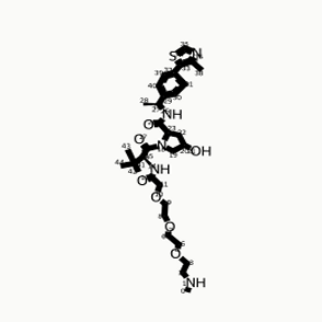 CNCCOCCOCCOCC(=O)N[C@H](C(=O)N1CC(O)CC1C(=O)N[C@@H](C)c1ccc(-c2scnc2C)cc1)C(C)(C)C